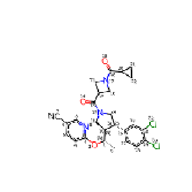 C[C@H](Oc1ccc(C#N)cn1)[C@H]1CN(C(=O)C2CN(C(=O)C3CC3)C2)C[C@@H]1c1ccc(Cl)c(Cl)c1